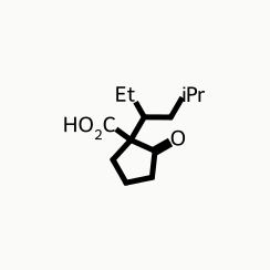 CCC(CC(C)C)C1(C(=O)O)CCCC1=O